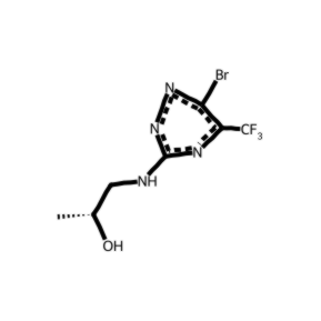 C[C@@H](O)CNc1nnc(Br)c(C(F)(F)F)n1